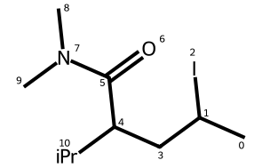 CC(I)CC(C(=O)N(C)C)C(C)C